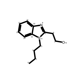 CCCCn1c(CC[O])nc2ccccc21